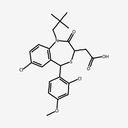 COc1ccc(C2SC(CC(=O)O)C(=O)N(CC(C)(C)C)c3ccc(Cl)cc32)c(Cl)c1